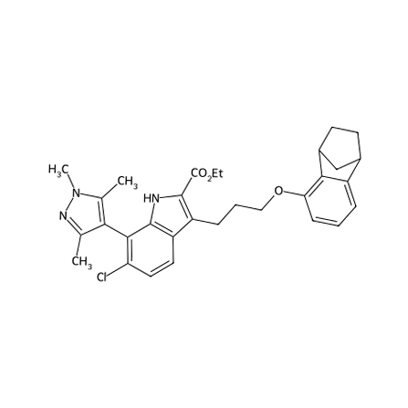 CCOC(=O)c1[nH]c2c(-c3c(C)nn(C)c3C)c(Cl)ccc2c1CCCOc1cccc2c1C1CCC2C1